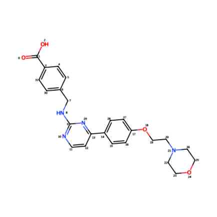 O=C(O)c1ccc(CNc2nccc(-c3ccc(OCCN4CCOCC4)cc3)n2)cc1